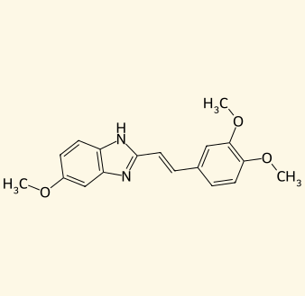 COc1ccc2[nH]c(C=Cc3ccc(OC)c(OC)c3)nc2c1